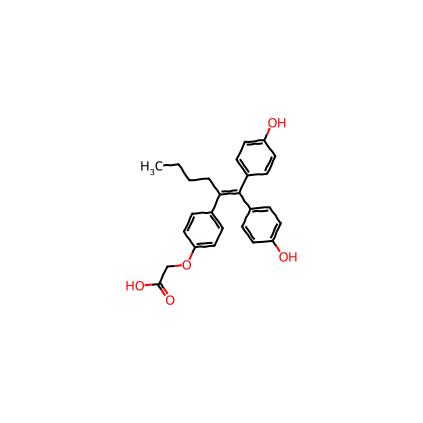 CCCCC(=C(c1ccc(O)cc1)c1ccc(O)cc1)c1ccc(OCC(=O)O)cc1